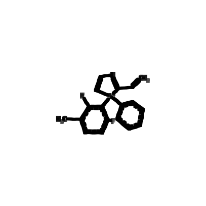 C=CC1=NC=C[N+]1(c1ccccc1)c1c(F)ccc(C)c1F